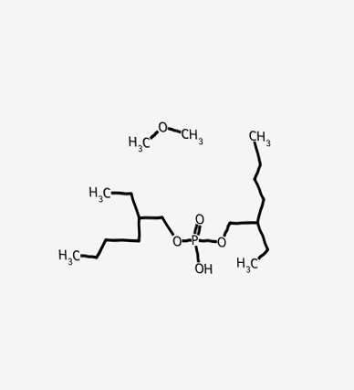 CCCCC(CC)COP(=O)(O)OCC(CC)CCCC.COC